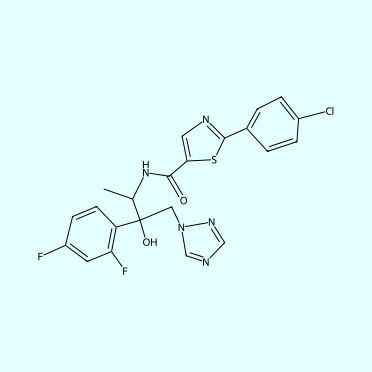 CC(NC(=O)c1cnc(-c2ccc(Cl)cc2)s1)C(O)(Cn1cncn1)c1ccc(F)cc1F